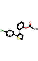 CCCCC(=O)Oc1ccccc1-c1ccsc1-c1ccc(Cl)cc1